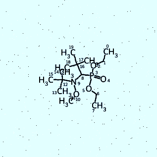 CCOP(=O)(OCC)C(N(OC)C(C)(C)C)C(C)(C)C